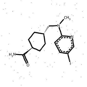 CN(C[C@H]1CC[C@H](C(N)=O)CC1)c1ccc(I)cn1